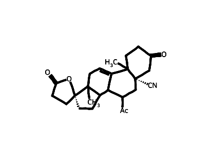 CC(=O)C1C[C@]2(C#N)CC(=O)CCC2(C)C2=CCC3(C)C(CC[C@@]34CCC(=O)O4)C21